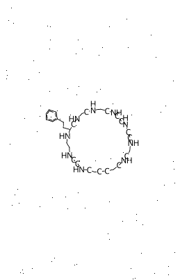 c1ccc(CCC2CNCCNCCNCCNCCNCCNCCCCCCNCCNCCN2)cc1